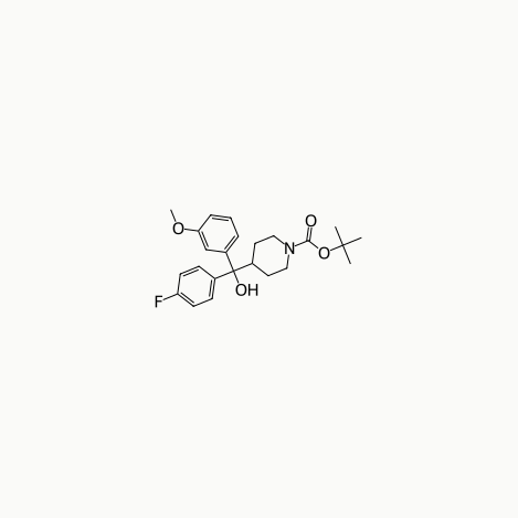 COc1cccc(C(O)(c2ccc(F)cc2)C2CCN(C(=O)OC(C)(C)C)CC2)c1